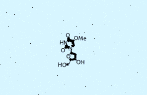 COc1cn([C@H]2C[C@@H](O)[C@H](CO)O2)c(=O)[nH]c1=O